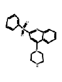 O=S(=O)(c1ccccc1)c1cc(N2CCNCC2)c2ccccc2n1